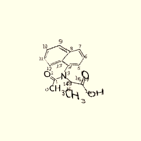 CC(=O)N(c1cccc2ccccc12)[C@@H](C)C(=O)O